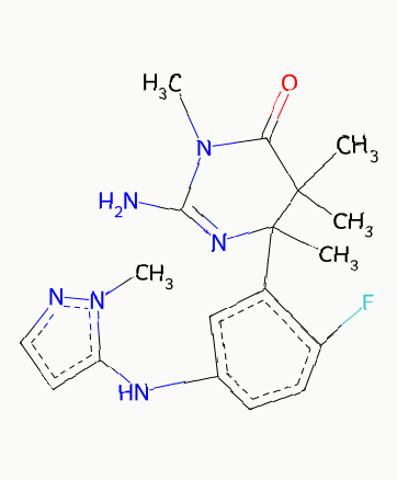 CN1C(=O)C(C)(C)C(C)(c2cc(Nc3ccnn3C)ccc2F)N=C1N